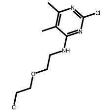 Cc1nc(Cl)nc(NCCOCCCl)c1C